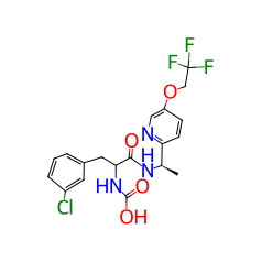 C[C@@H](NC(=O)C(Cc1cccc(Cl)c1)NC(=O)O)c1ccc(OCC(F)(F)F)cn1